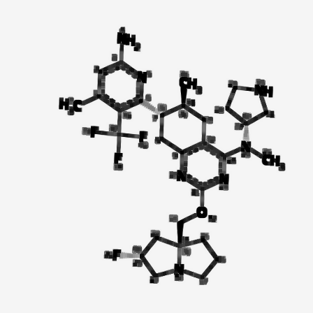 Cc1cc(N)nc([C@H]2Cc3nc(OC[C@@]45CCCN4C[C@H](F)C5)nc(N(C)[C@@H]4CCNC4)c3C[C@@H]2C)c1C(F)(F)F